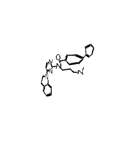 CN(C)CCCN(C(=O)c1ccc(-c2ccccc2)cc1)c1nccc(N2CCc3ccccc3C2)n1